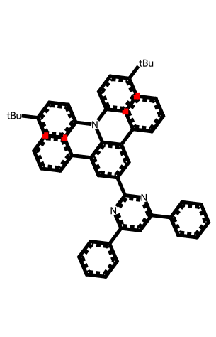 CC(C)(C)c1ccc(N(c2ccc(C(C)(C)C)cc2)c2c(-c3ccccc3)cc(-c3nc(-c4ccccc4)cc(-c4ccccc4)n3)cc2-c2ccccc2)cc1